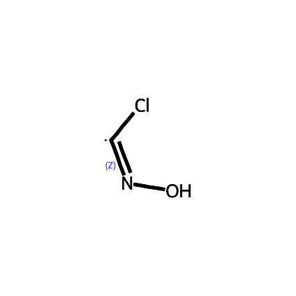 O/N=[C]\Cl